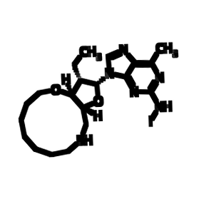 CC[C@H]1[C@@H]2OCCCCCCCBC[C@H]2O[C@H]1n1cnc2c(C)nc(NI)nc21